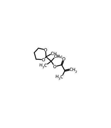 C=C(C)C(=O)OC(C)(OC(C)=O)C1(C)OCCCO1